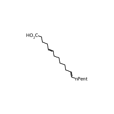 CCCCCC=CCCCCCC=CCCCC(=O)O